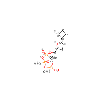 COP(=O)(O)OP(=O)(OC)OP(=O)(OC)OC[C@@H]1CC[C@H](C2CC[C@H]2C)O1